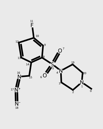 CN1CCN(S(=O)(=O)c2cc(F)ccc2CN=[N+]=[N-])CC1